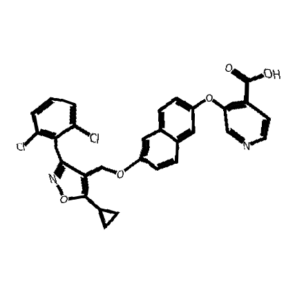 O=C(O)c1ccncc1Oc1ccc2cc(OCc3c(-c4c(Cl)cccc4Cl)noc3C3CC3)ccc2c1